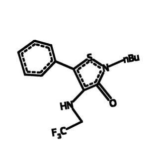 CCCCn1sc(-c2ccccc2)c(NCC(F)(F)F)c1=O